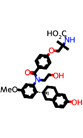 COc1ccc([C@@H]2CCc3cc(O)ccc3C2)c(N(CCO)C(=O)c2ccc(OCC(C)(C)NC(=O)O)cc2)c1